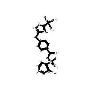 CS(=O)(=NC(=O)c1ccc(Cc2noc(C(F)(F)F)n2)cc1)c1ccncc1F